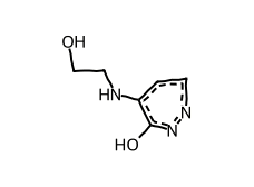 OCCNc1ccnnc1O